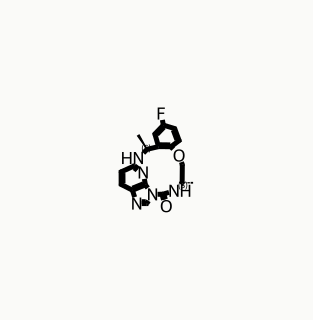 C[C@@H]1Nc2ccc3ncn(c3n2)C(=O)N[C@@H](C)COc2ccc(F)cc21